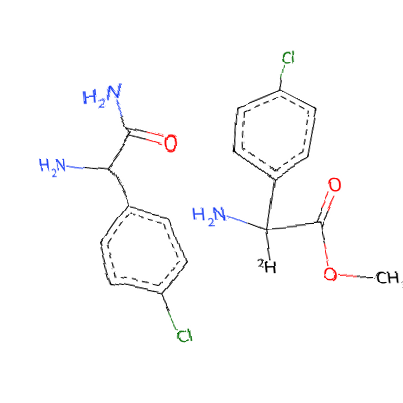 NC(=O)C(N)c1ccc(Cl)cc1.[2H]C(N)(C(=O)OC)c1ccc(Cl)cc1